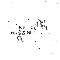 CC1NSN=C1C(=O)CNC(=O)OC(C)(C)C